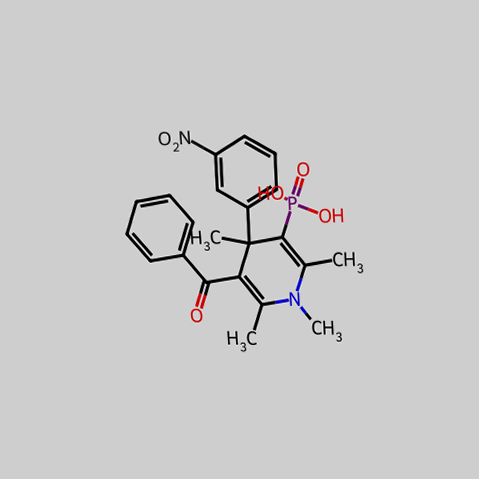 CC1=C(C(=O)c2ccccc2)C(C)(c2cccc([N+](=O)[O-])c2)C(P(=O)(O)O)=C(C)N1C